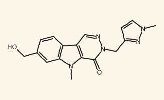 Cn1ccc(Cn2ncc3c4ccc(CO)cc4n(C)c3c2=O)n1